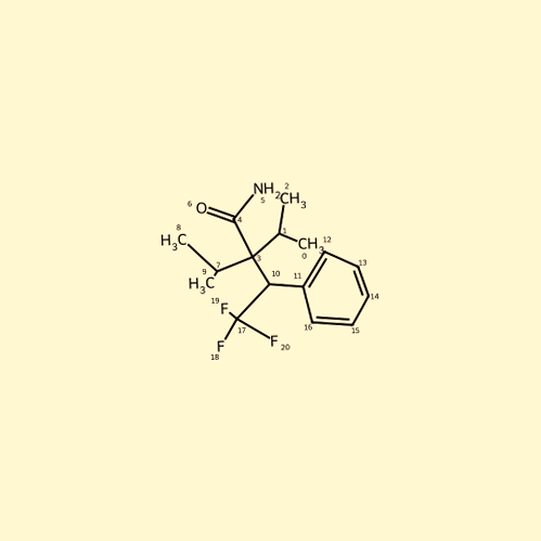 CC(C)C(C(N)=O)(C(C)C)C(c1ccccc1)C(F)(F)F